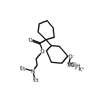 CCN(CC)CCOC(=O)C1(C2CCCCC2)CCCCC1.Cl.O=S(=O)([O-])O.[K+]